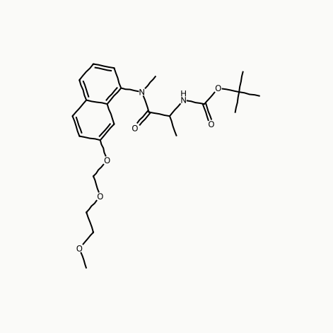 COCCOCOc1ccc2cccc(N(C)C(=O)C(C)NC(=O)OC(C)(C)C)c2c1